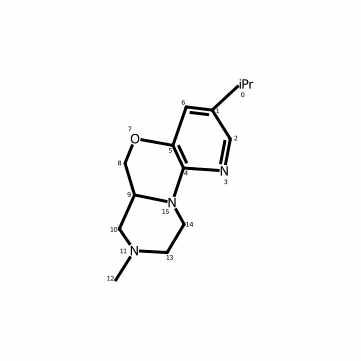 CC(C)c1cnc2c(c1)OCC1CN(C)CCN21